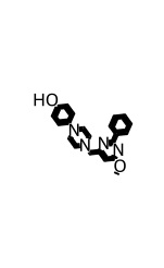 COc1cc(CN2CCN(c3ccc(O)cc3)CC2)nc(-c2ccccc2)n1